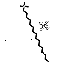 CCCCCCCCCCCCCCCC[N+](C)(C)C.[O-][Br+3]([O-])([O-])[O-]